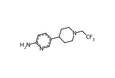 Nc1ccc(C2CCN(CC(F)(F)F)CC2)cn1